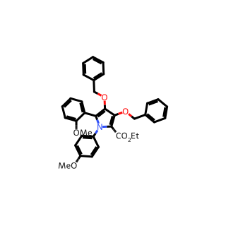 CCOC(=O)c1c(OCc2ccccc2)c(OCc2ccccc2)c(-c2ccccc2OC)n1-c1ccc(OC)cc1